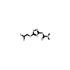 CN(C)C(=O)Sc1nsc(OCC(F)F)n1